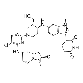 CN1C(=O)Cc2cc(Nc3nc(N4CC[C@H](Nc5ccc6c(C7CCC(=O)NC7=O)nn(C)c6c5)[C@H](CO)C4)ncc3Cl)ccc21